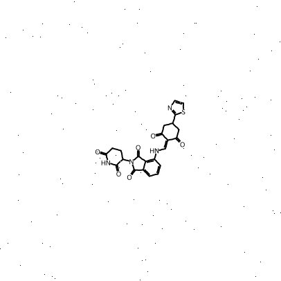 O=C1CCC(N2C(=O)c3cccc(NC=C4C(=O)CC(c5nccs5)CC4=O)c3C2=O)C(=O)N1